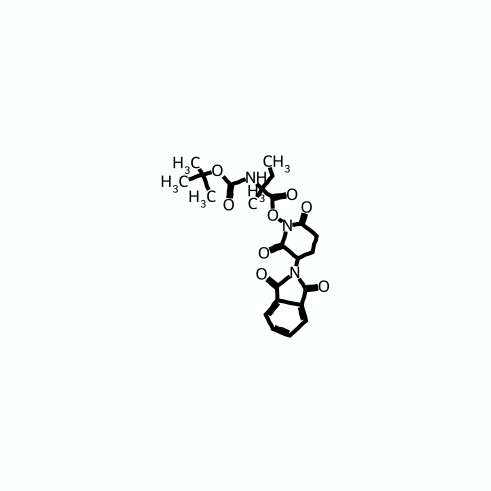 CCC(C)(NC(=O)OC(C)(C)C)C(=O)ON1C(=O)CCC(N2C(=O)c3ccccc3C2=O)C1=O